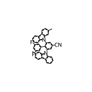 Cc1ccc2c3ccccc3n(-c3cc(C#N)cc(-n4c5ccccc5c5ccc(C)cc54)c3-c3cc(F)cc(F)c3)c2c1